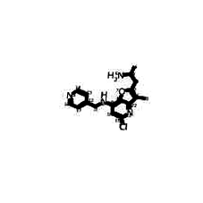 Cc1c(CC(C)N)oc2c(NCc3ccncc3)cc(Cl)nc12